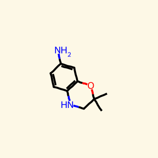 CC1(C)CNc2ccc(N)cc2O1